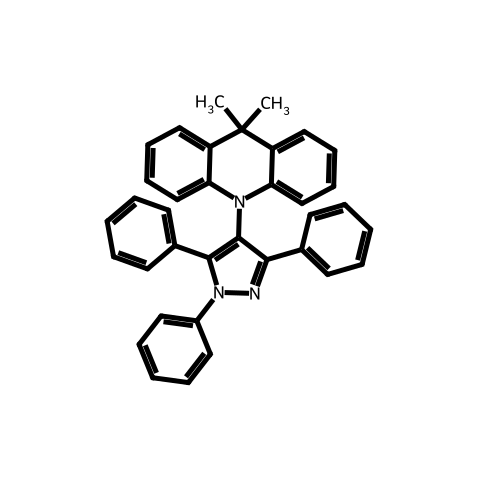 CC1(C)c2ccccc2N(c2c(-c3ccccc3)nn(-c3ccccc3)c2-c2ccccc2)c2ccccc21